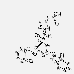 O=C(O)CC1CSC(NC(=O)c2cc(OCc3ccccc3Cl)cc(OCc3ccccc3Cl)c2)=N1